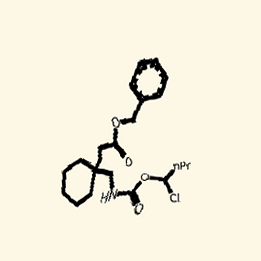 CCCC(Cl)OC(=O)NCC1(CC(=O)OCc2ccccc2)CCCCC1